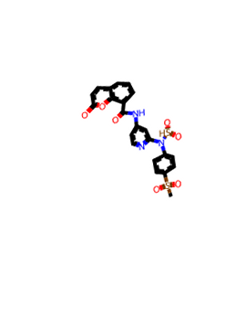 CS(=O)(=O)c1ccc(N(c2cc(NC(=O)c3cccc4ccc(=O)oc34)ccn2)[SH](=O)=O)cc1